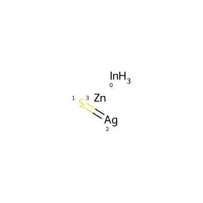 [InH3].[S]=[Ag].[Zn]